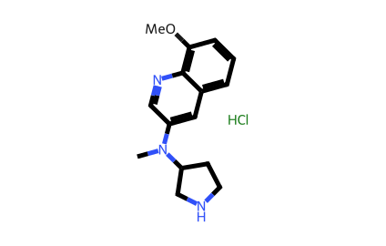 COc1cccc2cc(N(C)C3CCNC3)cnc12.Cl